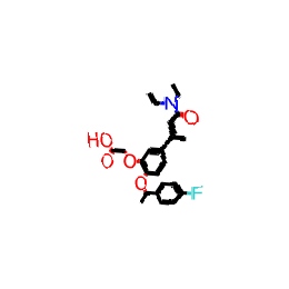 CCN(CC)C(=O)C=C(C)c1ccc(OC(C)c2ccc(F)cc2)c(OCC(=O)O)c1